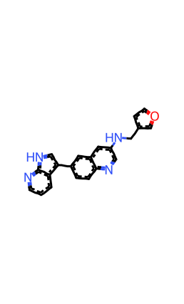 c1cnc2[nH]cc(-c3ccc4ncc(NCc5ccoc5)cc4c3)c2c1